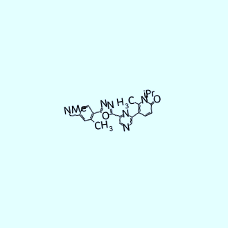 CNCc1ccc(-c2nnc(-c3cncc(-c4ccc(=O)n(C(C)C)c4C)n3)o2)c(C)c1